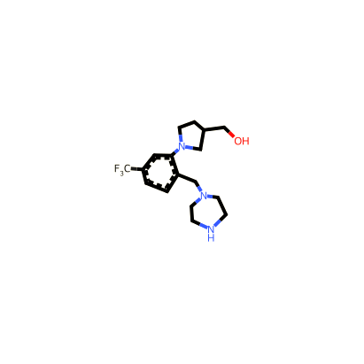 OCC1CCN(c2cc(C(F)(F)F)ccc2CN2CCNCC2)C1